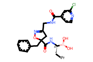 CC(C)C[C@H](NC(=O)C1(Cc2ccccc2)CC(CNC(=O)c2ccnc(Cl)c2)=NO1)B(O)O